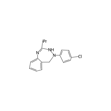 CC(C)C1=Nc2ccccc2CN(c2ccc(Cl)cc2)N1